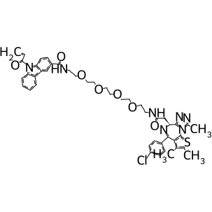 C=CC(=O)n1c2ccccc2c2cc(C(=O)NCCOCCOCCOCCOCCNC(=O)C[C@@H]3N=C(c4ccc(Cl)cc4)c4c(sc(C)c4C)-n4c(C)nnc43)ccc21